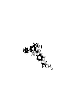 CC(F)(F)CN[C@H]1CC[C@H](NC(=O)c2nc(-n3ccnc3)cc3cn[nH]c23)CC1